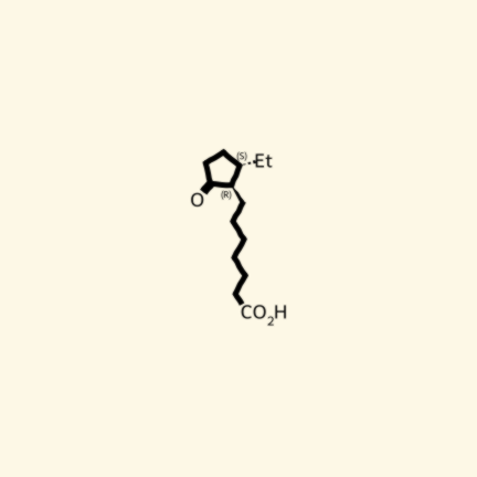 CC[C@H]1CCC(=O)[C@@H]1CCCCCCC(=O)O